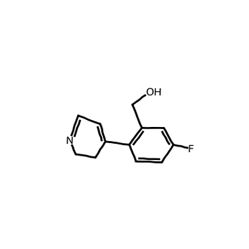 OCc1cc(F)ccc1C1=CC=NCC1